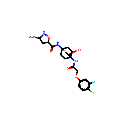 COC1CC(C(=O)NC23CCC(NC(=O)COc4ccc(Cl)c(F)c4)(CC2)C(O)C3)ON1